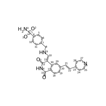 NS(=O)(=O)c1ccc(CNC=C2C(=O)NC(=O)c3ccc(C=Cc4ccncc4)cc32)cc1